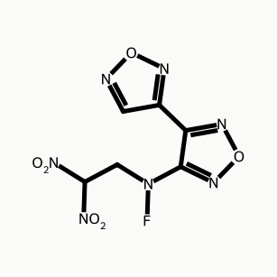 O=[N+]([O-])C(CN(F)c1nonc1-c1cnon1)[N+](=O)[O-]